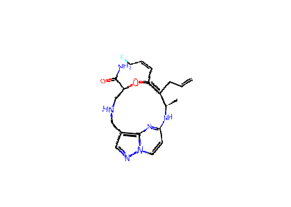 C=CC/C1=C(\C=C/CF)OC(C(N)=O)CNCc2cnn3ccc(nc23)N[C@@H]1C